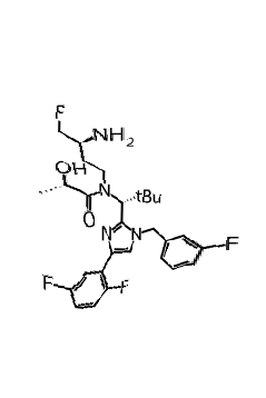 C[C@H](O)C(=O)N(CC[C@H](N)CF)[C@@H](c1nc(-c2cc(F)ccc2F)cn1Cc1cccc(F)c1)C(C)(C)C